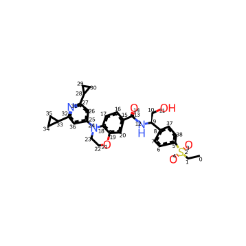 CCS(=O)(=O)c1ccc([C@H](CO)NC(=O)c2ccc3c(c2)OCCN3c2cc(C3CC3)nc(C3CC3)c2)cc1